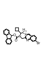 CC(C1CCC1)N(Cc1ncc2ccc(Br)cc2n1)C(=O)OC1c2ccccc2-c2ccccc21